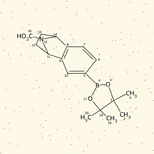 CC1(C)OB(c2ccc3c(c2)C2CCC3N2C(=O)O)OC1(C)C